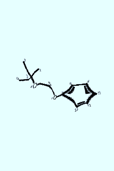 CC(C)(C)OCOc1ccccc1